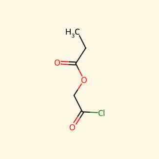 CCC(=O)OCC(=O)Cl